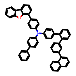 c1ccc(-c2ccc(N(c3ccc(-c4ccccc4-c4cccc(-c5cccc6ccccc56)c4)cc3)c3ccc(-c4cccc5c4oc4ccccc45)cc3)cc2)cc1